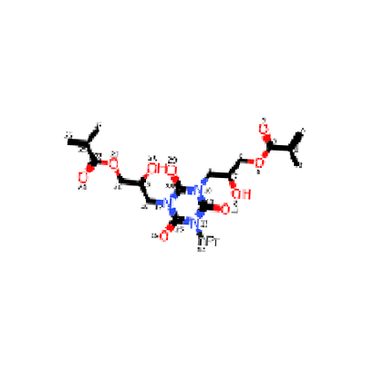 C=C(C)C(=O)OCC(O)Cn1c(=O)n(CCC)c(=O)n(CC(O)COC(=O)C(=C)C)c1=O